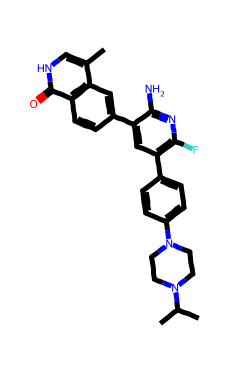 Cc1c[nH]c(=O)c2ccc(-c3cc(-c4ccc(N5CCN(C(C)C)CC5)cc4)c(F)nc3N)cc12